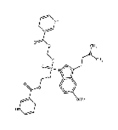 COc1ccc2c(c1)c(CCN(C)C)cn2P(=O)(OCOC(=O)C1=CNC=CC1)OCOC(=O)C1=CNC=CC1